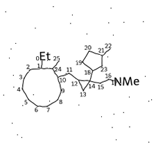 CCC1CCCCCCCCC(CC2CC2(CCNC)C2CCC(C)C2)C1C